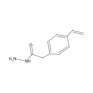 C=Cc1ccc(CC(=O)NN)cc1